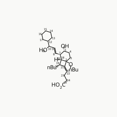 CCCCO[C@]12CC[C@@H](O)[C@H](/C=C/C(O)C3CCCCC3)[C@H]1C(CCCC)C2=CCCC(=O)O